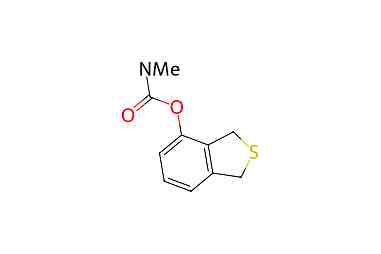 CNC(=O)Oc1cccc2c1CSC2